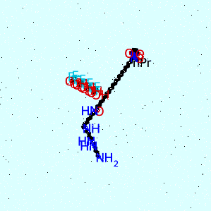 CCCC(=O)N(CCCCCCCCCCCCCCCCCCCCCCCC(=O)NCCCCCCC(C)NCCCCNCNCCCCN)N1C(=O)C=CC1=O.O=C(O)C(F)(F)F.O=C(O)C(F)(F)F.O=C(O)C(F)(F)F.O=C(O)C(F)(F)F